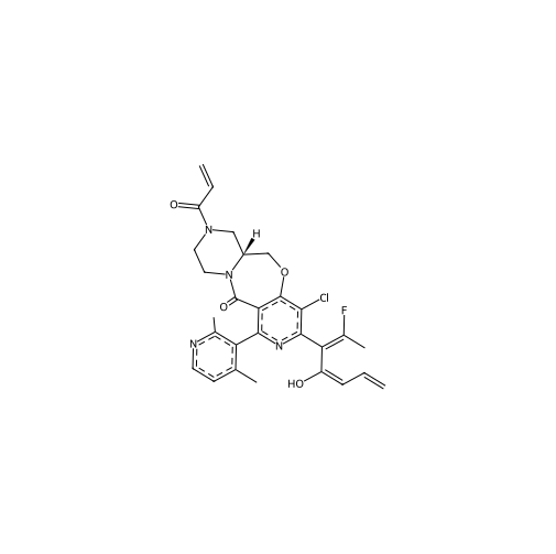 C=C/C=C(O)\C(=C(/C)F)c1nc(-c2c(C)ccnc2C)c2c(c1Cl)OC[C@H]1CN(C(=O)C=C)CCN1C2=O